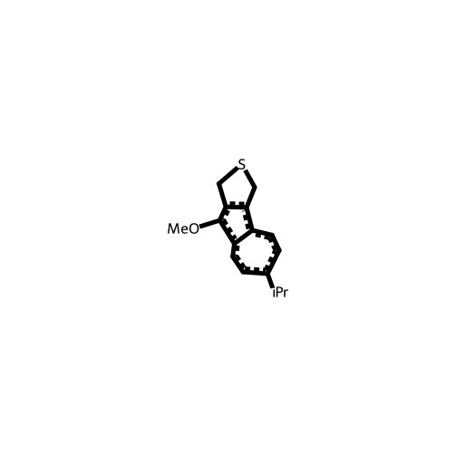 COc1c2ccc(C(C)C)ccc-2c2c1CSC2